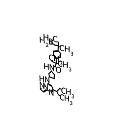 BCC(C)(CC)c1ccc(C(C)(CC)C(=O)N[C@H]2CC[C@H](Nc3cc(C(CC)CC)nc4ccnn34)C2)cc1